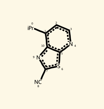 CC(C)c1ccnc2sc(C#N)nc12